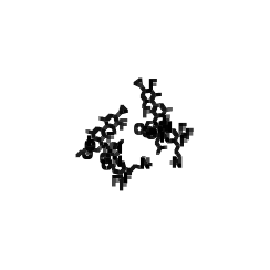 CCOC(=O)C[C@H](NC(=O)C(CC(C)C)n1cc(CCCN(C)C)c(C(F)(F)F)cc1=O)c1c(F)c(C)cc(-c2c(C)cc(C3CC3)c(F)c2C)c1F.Cc1cc(-c2c(C)cc(C3CC3)c(F)c2C)c(F)c([C@H](CC(=O)O)NC(=O)C(CC(C)C)n2cc(CCCN(C)C)c(C(F)(F)F)cc2=O)c1F